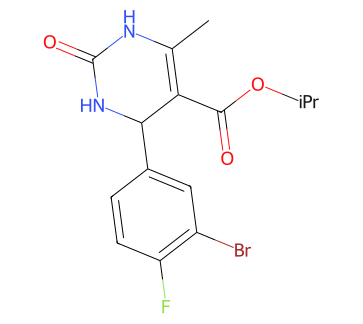 CC1=C(C(=O)OC(C)C)C(c2ccc(F)c(Br)c2)NC(=O)N1